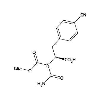 CC(C)(C)OC(=O)N(C(N)=O)[C@@H](Cc1ccc(C#N)cc1)C(=O)O